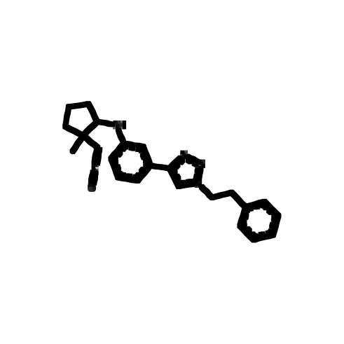 CC1(C=C=O)CCCC1Nc1cccc(-c2cn(CCc3ccccc3)nn2)c1